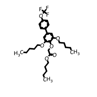 CCCCCOC(=O)COc1c(OCCCCC)cc(-c2ccc(OC(F)(F)F)cc2)cc1OCCCCC